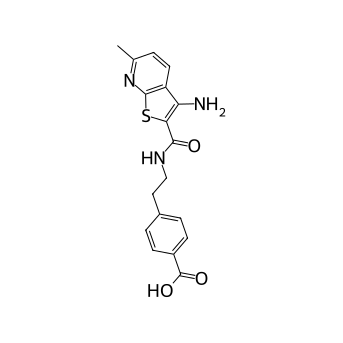 Cc1ccc2c(N)c(C(=O)NCCc3ccc(C(=O)O)cc3)sc2n1